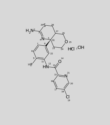 Cl.Cl.NC1=N[C@@]2(c3ccc(F)c(NC(=O)c4ccc(Cl)cn4)c3)CCOCC2CS1